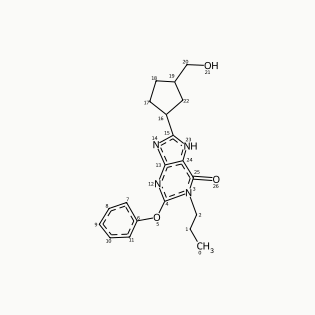 CCCn1c(Oc2ccccc2)nc2nc(C3CCC(CO)C3)[nH]c2c1=O